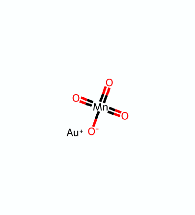 [Au+].[O]=[Mn](=[O])(=[O])[O-]